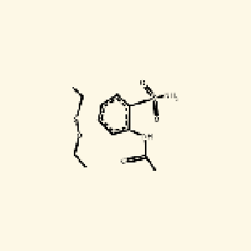 CC(=O)Nc1ccccc1S(N)(=O)=O.CCOSCC